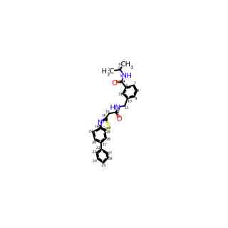 CC(C)NC(=O)c1cccc(CNC(=O)Cc2nc3ccc(-c4ccccc4)cc3s2)c1